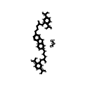 CC(CCCc1ccc2c(c1)[CH]c1cc(CCCC(C)Cc3cc(C(C)C)ccc3C(C)C)ccc1-2)Cc1cc(C(C)C)ccc1C(C)C.[Cl][Zr][Cl]